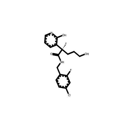 O=C(NCc1ccc(Cl)cc1F)[C@](F)(CCCO)c1cccnc1O